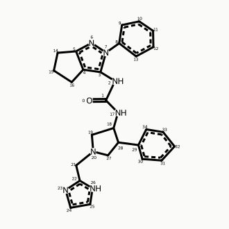 O=C(Nc1c2c(nn1-c1ccccc1)CCC2)NC1CN(Cc2ncc[nH]2)CC1c1ccccc1